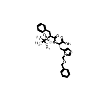 CC(C)(C)S(=O)(=O)C(Cc1ccccc1)C(=O)N[C@@H](Cc1cncn1COCc1ccccc1)C(=O)O